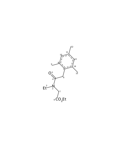 CCOC(=O)CN(CC)C(=O)Cc1c(C)cc(C)cc1C